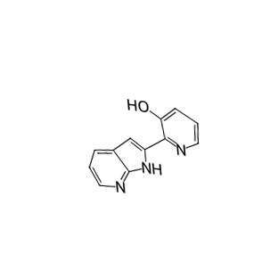 Oc1cccnc1-c1cc2cccnc2[nH]1